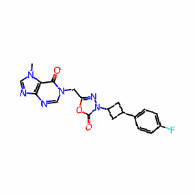 Cn1cnc2ncn(Cc3nn(C4CC(c5ccc(F)cc5)C4)c(=O)o3)c(=O)c21